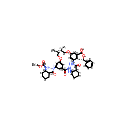 CC(C)CCOc1cc(NC(=O)C2CCCCC2NC(=O)OC(C)(C)C)cc(C(=O)NC2CCCCC2C(=O)Nc2cc(OCCC(C)C)cc(C(=O)OCc3ccccc3)c2)c1